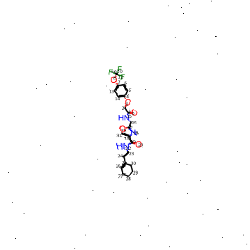 O=C(COc1ccc(OC(F)(F)F)cc1)NCc1nc(C(=O)NCCC2=CCCCC2)co1